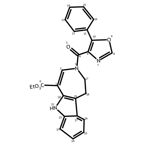 CCOC(=O)C1=CN(C(=O)c2ncoc2-c2ccccc2)CCc2c1[nH]c1ccccc21